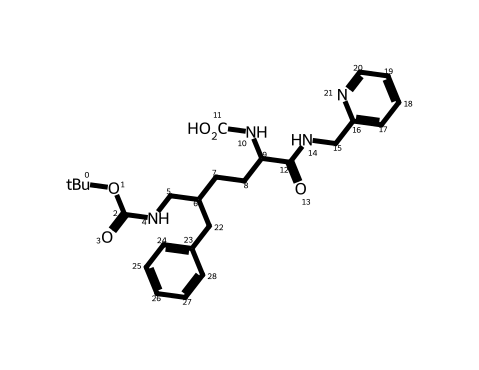 CC(C)(C)OC(=O)NCC(CCC(NC(=O)O)C(=O)NCc1ccccn1)Cc1ccccc1